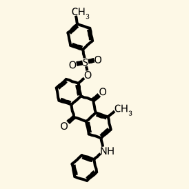 Cc1ccc(S(=O)(=O)Oc2cccc3c2C(=O)c2c(C)cc(Nc4ccccc4)cc2C3=O)cc1